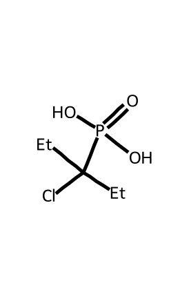 CCC(Cl)(CC)P(=O)(O)O